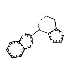 c1ccc2sc(C3NCCc4[nH]cnc43)nc2c1